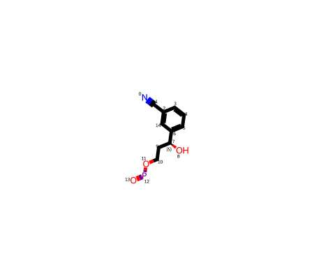 N#Cc1cccc([C@@H](O)CCOP=O)c1